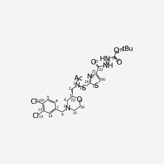 CC(=O)N(C[C@@H]1CN(Cc2ccc(Cl)c(Cl)c2)CCO1)Sc1nc(C(=O)NNC(=O)OC(C)(C)C)cs1